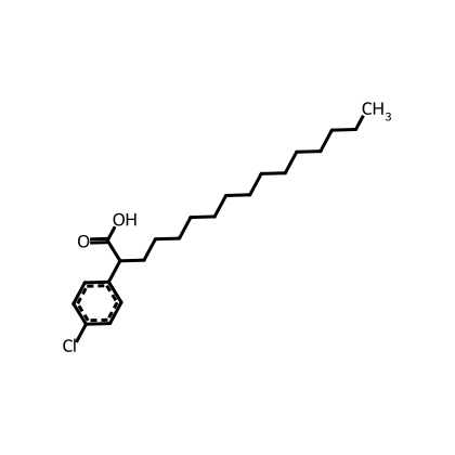 CCCCCCCCCCCCCCC(C(=O)O)c1ccc(Cl)cc1